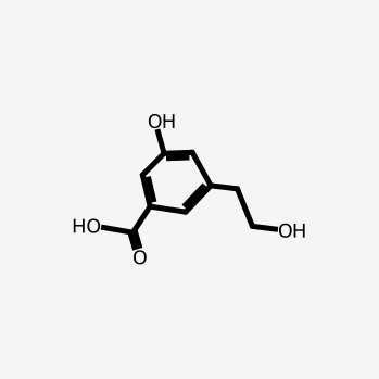 O=C(O)c1cc(O)cc(CCO)c1